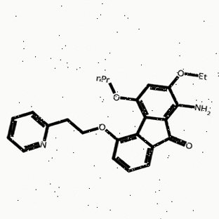 CCCOc1cc(OCC)c(N)c2c1-c1c(OCCc3ccccn3)cccc1C2=O